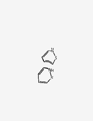 C1=CNSC=C1.C1=CNSC=C1